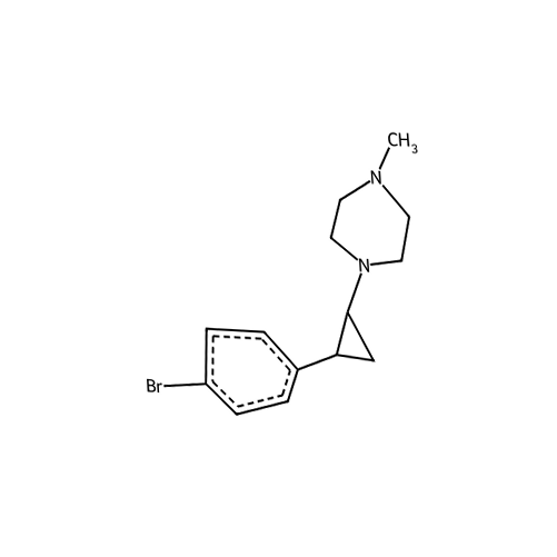 CN1CCN(C2CC2c2ccc(Br)cc2)CC1